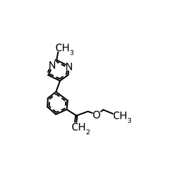 C=C(COCC)c1cccc(-c2cnc(C)nc2)c1